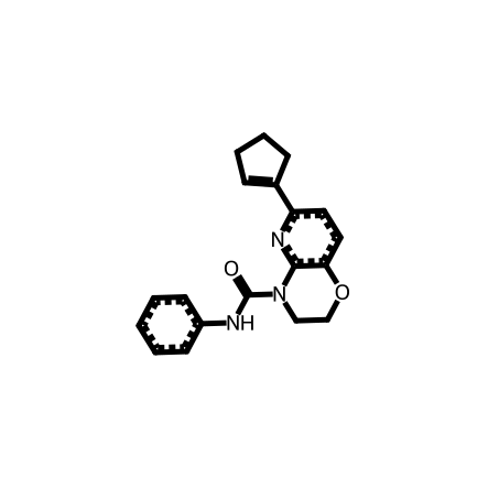 O=C(Nc1ccccc1)N1CCOc2ccc(C3=CCCC3)nc21